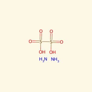 N.N.O=S(=O)(O)S(=O)(=O)O